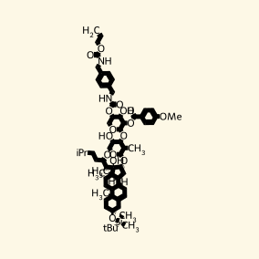 C=CCOC(=O)NCc1ccc(CNC(=O)OC2COC(OC3C(O)COC(O[C@H]4C[C@H]5[C@@H]6CC=C7C[C@@H](O[Si](C)(C)C(C)(C)C)CC[C@]7(C)C6CC[C@]5(C)[C@@]4(O)[C@H](C)C(=O)CCC(C)C)C3C)C(OC(=O)c3ccc(OC)cc3)C2O)cc1